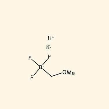 COC[B-](F)(F)F.[H+].[K]